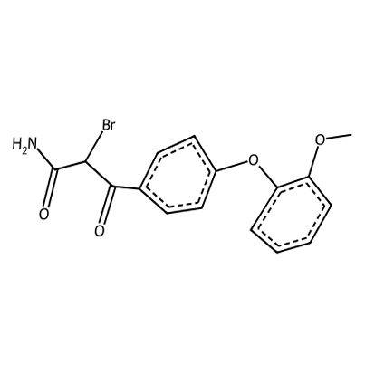 COc1ccccc1Oc1ccc(C(=O)C(Br)C(N)=O)cc1